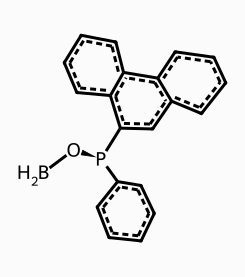 BO[P@](c1ccccc1)c1cc2ccccc2c2ccccc12